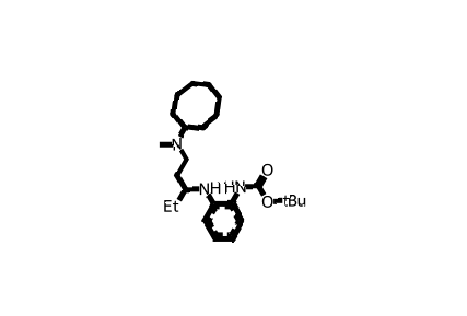 CCC(CCN(C)C1CCCCCCC1)Nc1ccccc1NC(=O)OC(C)(C)C